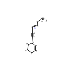 NC/C=C/C#CC1C=CCCC1